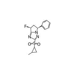 CC1CC1S(=O)(=O)c1nc2n(n1)[C@H](c1ccccc1)C[C@@H]2F